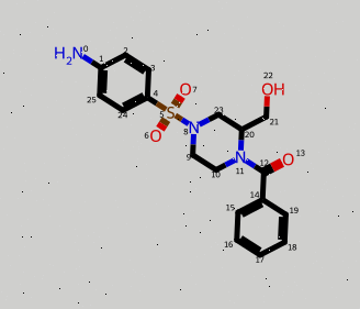 Nc1ccc(S(=O)(=O)N2CCN(C(=O)c3ccccc3)C(CO)C2)cc1